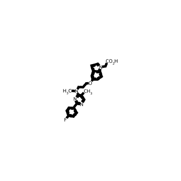 Cc1cnc(-c2ccc(F)cc2)nc1N(C)CCCOc1ccc2c(ccn2CC(=O)O)c1